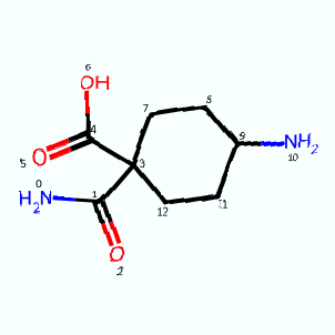 NC(=O)C1(C(=O)O)CCC(N)CC1